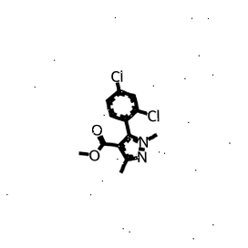 COC(=O)c1c(C)nn(C)c1-c1ccc(Cl)cc1Cl